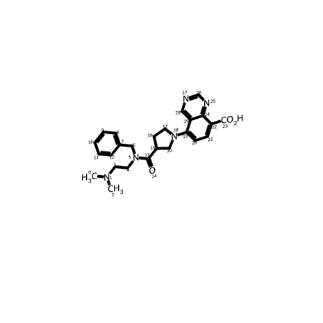 CN(C)CCN(Cc1ccccc1)C(=O)C1CCN(c2ccc(C(=O)O)c3ncncc23)C1